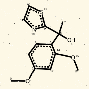 COc1ccc(C(C)(O)c2nccs2)c(OC)c1